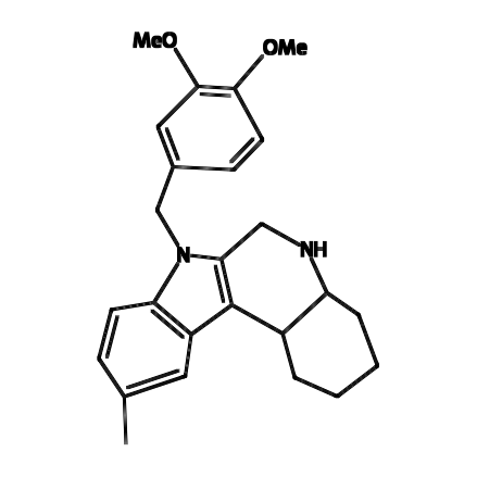 COc1ccc(Cn2c3c(c4cc(C)ccc42)C2CCCCC2NC3)cc1OC